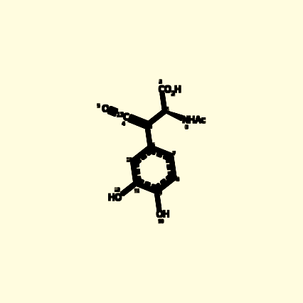 CC(=O)N[C@H](C(=O)O)C(=[13C]=O)c1ccc(O)c(O)c1